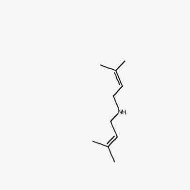 CC(C)=CCNCC=C(C)C